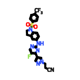 N#CCCn1cc(-c2nc(Nc3ccc4c(c3)CCN4S(=O)(=O)c3ccc(C(F)(F)F)cc3)ncc2F)cn1